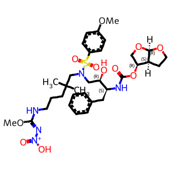 COC(=N[N+](=O)O)NCCCC(C)(C)CN(C[C@@H](O)[C@H](Cc1ccccc1)NC(=O)O[C@H]1CO[C@H]2OCC[C@H]21)S(=O)(=O)c1ccc(OC)cc1